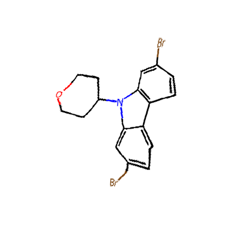 Brc1ccc2c3ccc(Br)cc3n(C3CCOCC3)c2c1